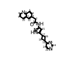 O=C(Cc1ccc2ncccc2c1)Nc1cc(C2CC(c3ccncn3)C2)[nH]n1